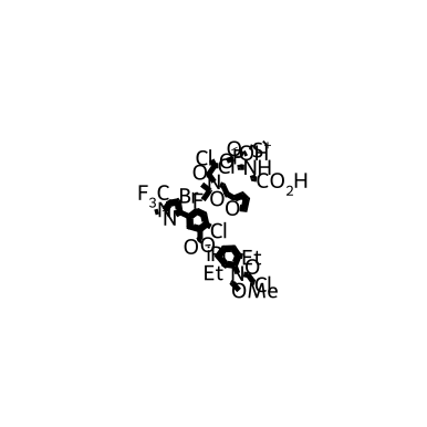 CC(C)OC(=O)c1cc(-c2nn(C)c(C(F)(F)F)c2Br)c(F)cc1Cl.CC1(C)OC(c2ccco2)CN1C(=O)C(Cl)Cl.CCc1cccc(CC)c1N(COC)C(=O)CCl.C[S+](C)C.O=C(O)CNCP(=O)([O-])O